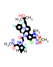 CNC(=O)c1nn(CC(=O)N[C@@H](Cc2cc(F)cc(F)c2)c2nc(C#CC(C)(C)O)ccc2-c2ccc(Cl)c3c(NS(C)(=O)=O)nn(C)c23)c2c1[C@H]1C[C@H]1C2(F)F